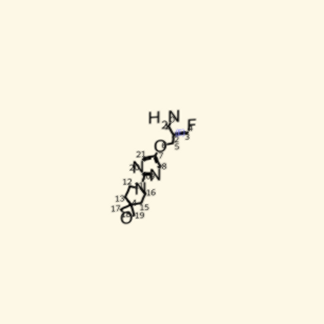 NC/C(=C\F)COc1cnc(N2CCC3(CC2)COC3)nc1